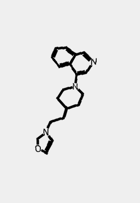 C1=CN(CCC2CCN(c3cncc4ccccc34)CC2)CO1